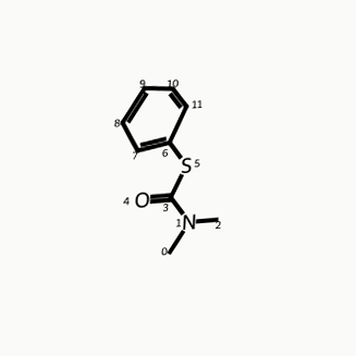 CN(C)C(=O)Sc1cc[c]cc1